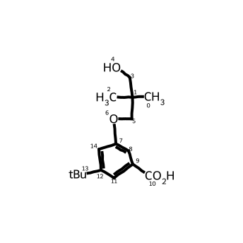 CC(C)(CO)COc1cc(C(=O)O)cc(C(C)(C)C)c1